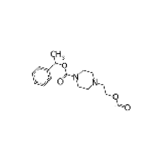 CC(OC(=O)N1CCN(CCO[C]=O)CC1)c1ccccc1